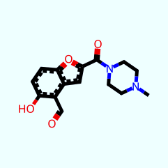 CN1CCN(C(=O)c2cc3c(C=O)c(O)ccc3o2)CC1